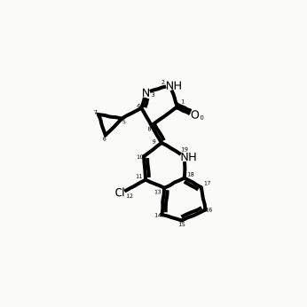 O=C1NN=C(C2CC2)C1=C1C=C(Cl)c2ccccc2N1